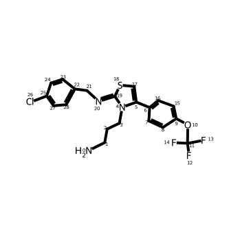 NCCCn1c(-c2ccc(OC(F)(F)F)cc2)cs/c1=N\Cc1ccc(Cl)cc1